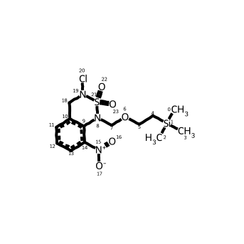 C[Si](C)(C)CCOCN1c2c(cccc2[N+](=O)[O-])CN(Cl)S1(=O)=O